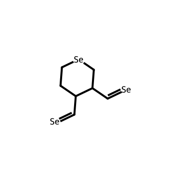 [Se]=CC1CC[Se]CC1C=[Se]